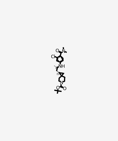 C[C@@H](C[C@@H]1CC12CCN(C(=O)OC(C)(C)C)CC2)Nc1ccc(C(=O)N(C)C)c(Cl)c1